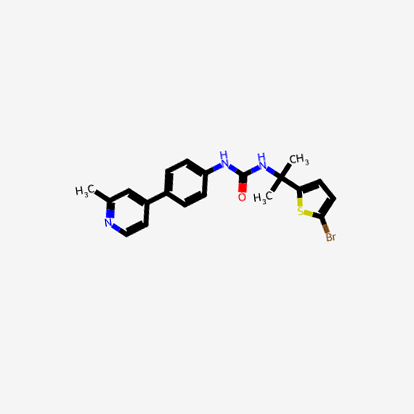 Cc1cc(-c2ccc(NC(=O)NC(C)(C)c3ccc(Br)s3)cc2)ccn1